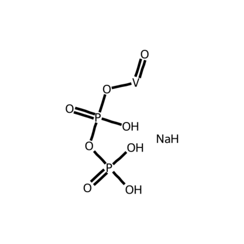 [NaH].[O]=[V][O]P(=O)(O)OP(=O)(O)O